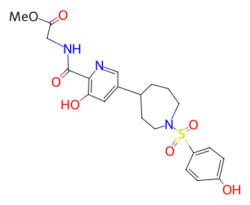 COC(=O)CNC(=O)c1ncc(C2CCCN(S(=O)(=O)c3ccc(O)cc3)CC2)cc1O